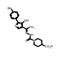 C/C(=N\NC(=S)N1CCC(C(=O)O)CC1)c1csc(-c2ccc(C(C)(C)C)cc2)c1O